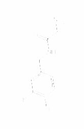 NCC(=O)NCc1ccc(Cl)c(Cl)c1